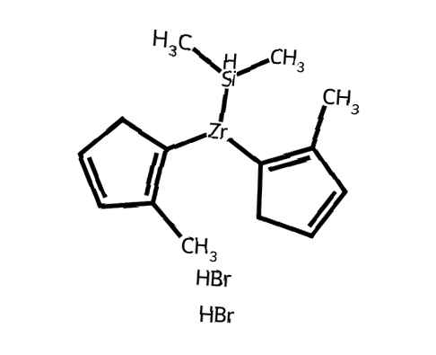 Br.Br.CC1=[C]([Zr]([C]2=C(C)C=CC2)[SiH](C)C)CC=C1